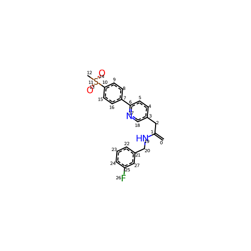 C=C(Cc1ccc(-c2ccc(S(C)(=O)=O)cc2)nc1)NCc1cccc(F)c1